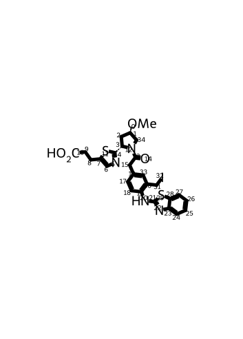 CO[C@H]1C[C@@H](c2ncc(CCC(=O)O)s2)N(C(=O)Cc2ccc(Nc3nc4ccccc4s3)c(CI)c2)C1